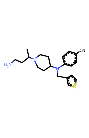 CC(CCN)N1CCC(N(Cc2ccsc2)c2ccc(C#N)cc2)CC1